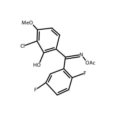 COc1ccc(C(=NOC(C)=O)c2cc(F)ccc2F)c(O)c1Cl